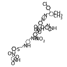 CC1(C)CCC(CN2CCN(c3ccc(C(=O)NS(=O)(=O)c4ccc(NCC5CCC(NCCCSc6cccc7c6CN(C6CCC(=O)NC6=O)C7=O)CC5)c([N+](=O)[O-])c4)c(Oc4cnc5[nH]ccc5c4)c3)CC2)=C(c2ccc(Cl)cc2)C1